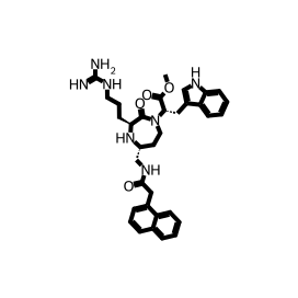 COC(=O)[C@H](Cc1c[nH]c2ccccc12)N1CC[C@H](CNC(=O)Cc2cccc3ccccc23)N[C@@H](CCCNC(=N)N)C1=O